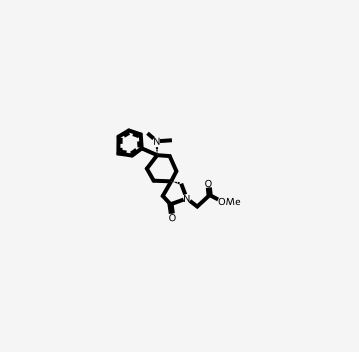 COC(=O)CN1C[C@]2(CC[C@@](c3ccccc3)(N(C)C)CC2)CC1=O